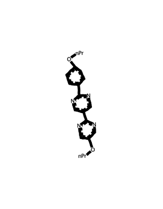 CCCOc1ccc(-c2ncc(-c3ncc(OCCC)cn3)cn2)cc1